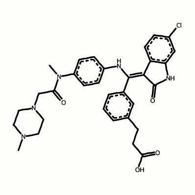 CN1CCN(CC(=O)N(C)c2ccc(NC(=C3C(=O)Nc4cc(Cl)ccc43)c3cccc(CCC(=O)O)c3)cc2)CC1